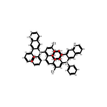 CCc1cc(N(c2ccccc2)c2cc3cccnc3cc2-c2ccccc2)c2ccc3c(CC)cc(N(c4ccccc4)c4cc5cccnc5cc4-c4ccccc4)c4ccc1c2c34